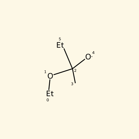 CCOC(C)([O])CC